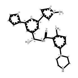 Cc1ccc(N2CCNCC2)cc1C(=O)N[C@H](C)c1cc(-c2cnn(C)c2)nc(-c2cccs2)c1